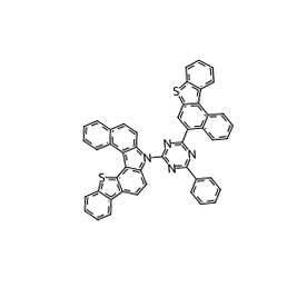 c1ccc(-c2nc(-c3cc4sc5ccccc5c4c4ccccc34)nc(-n3c4ccc5ccccc5c4c4c5sc6ccccc6c5ccc43)n2)cc1